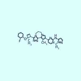 Cc1c(-c2ccnc(Nc3ccnn3C)n2)cn2c1-c1nnc(C3C=C[C@]3(C)Oc3ccccc3F)n1CCC2